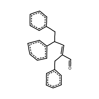 O=C/C(=C/C(Cc1ccccc1)c1ccccc1)Cc1ccccc1